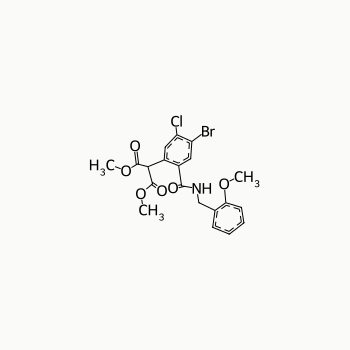 COC(=O)C(C(=O)OC)c1cc(Cl)c(Br)cc1C(=O)NCc1ccccc1OC